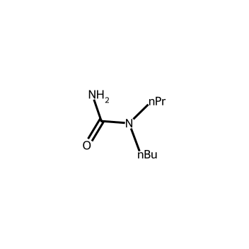 [CH2]CCCN(CCC)C(N)=O